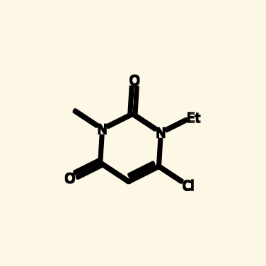 CCn1c(Cl)cc(=O)n(C)c1=O